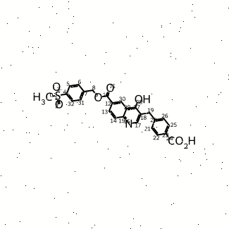 CS(=O)(=O)c1ccc(COC(=O)c2ccc3ncc(Cc4ccc(C(=O)O)cc4)c(O)c3c2)cc1